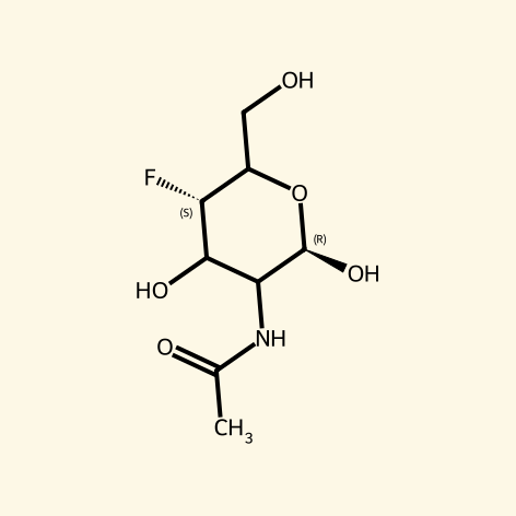 CC(=O)NC1C(O)[C@H](F)C(CO)O[C@H]1O